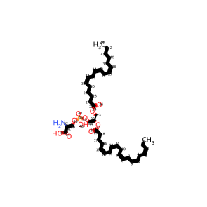 CC/C=C\C/C=C\C/C=C\C/C=C\C/C=C\CCCC(=O)O[C@H](COC(=O)CCCC/C=C\C/C=C\C/C=C\CCCCC)COP(=O)(O)OC[C@H](N)C(=O)O